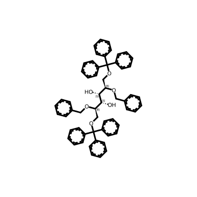 O[C@@H]([C@H](O)[C@@H](COC(c1ccccc1)(c1ccccc1)c1ccccc1)OCc1ccccc1)[C@@H](COC(c1ccccc1)(c1ccccc1)c1ccccc1)OCc1ccccc1